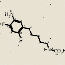 Nc1cc(CCCCCNC(=O)O)c(Cl)cc1F